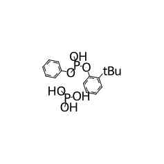 CC(C)(C)c1ccccc1OP(O)Oc1ccccc1.OP(O)O